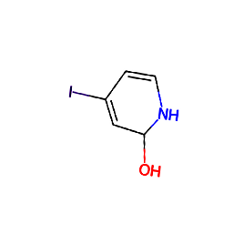 OC1C=C(I)C=CN1